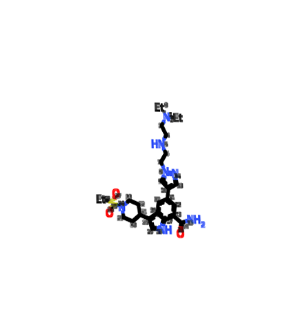 CCN(CC)CCNCCn1cc(-c2cc(C(N)=O)c3[nH]cc(C4CCN(S(=O)(=O)CC)CC4)c3c2)cn1